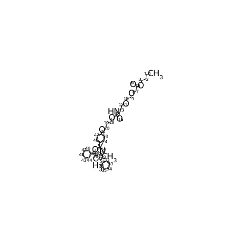 CCCCOC(=O)COCCOCCNC(=O)OCCCOc1ccc(C2=N[C@@](C)(Cc3ccccc3)[C@](C)(c3ccccc3)O2)cc1